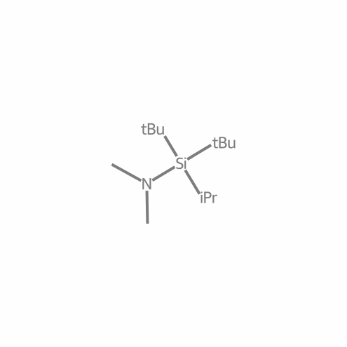 CC(C)[Si](N(C)C)(C(C)(C)C)C(C)(C)C